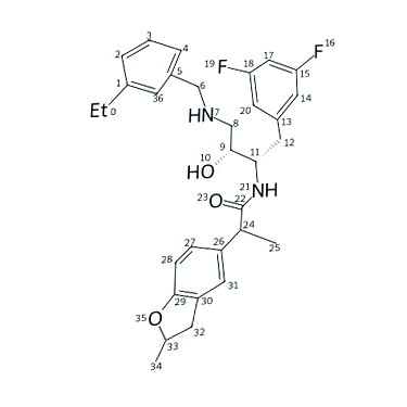 CCc1cccc(CNC[C@@H](O)[C@H](Cc2cc(F)cc(F)c2)NC(=O)C(C)c2ccc3c(c2)CC(C)O3)c1